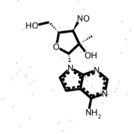 C[C@@]1(O)[C@H](N=O)[C@@H](CO)O[C@H]1n1ccc2c(N)ncnc21